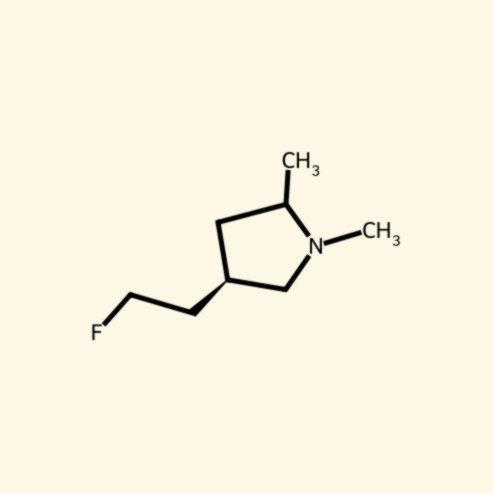 CC1C[C@H](CCF)CN1C